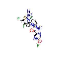 C[C@]1(c2nc(NC(=O)c3cnc(OCF)cn3)ccc2F)N=C(N)S[C@H](CF)[C@@H]1F